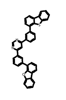 c1cc(-c2cc(-c3cccc(-c4cccc5c4sc4ccccc45)c3)ncn2)cc(-c2cccc3c2oc2ccccc23)c1